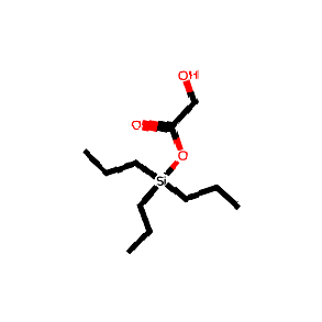 CCC[Si](CCC)(CCC)OC(=O)CO